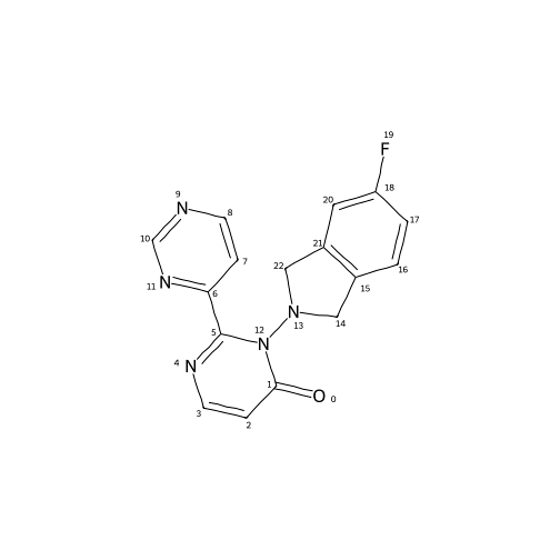 O=c1ccnc(-c2ccncn2)n1N1Cc2ccc(F)cc2C1